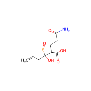 C=CCC(O)(P=O)C(CCC(N)=O)C(=O)O